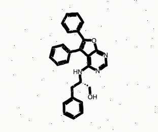 OC[C@H](Cc1ccccc1)Nc1ncnc2oc(-c3ccccc3)c(-c3ccccc3)c12